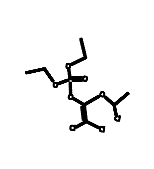 CCOP(=O)(OCC)OC(OC(C)Cl)=C(Cl)Cl